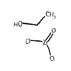 CCO.[O]=[Zr]([Cl])[Cl]